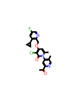 CC(=O)c1cc(-n2c(C)cc(OCc3ncc(F)cc3C3CC3)c(Cl)c2=O)c(C)cn1